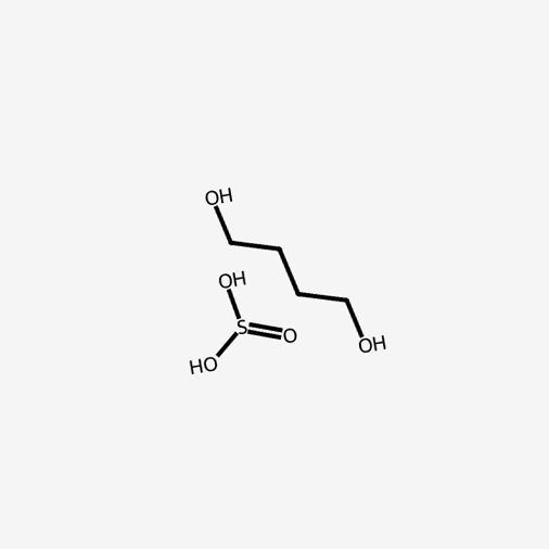 O=S(O)O.OCCCCO